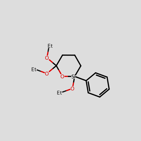 CCOC1(OCC)CCC[Si](OCC)(c2ccccc2)O1